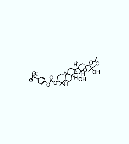 CC(=O)O[C@@H]([C@H]1C[C@@H](C)[C@H]2[C@H](O1)[C@H](O)[C@@]1(C)[C@@H]3CC[C@H]4C(C)(C)[C@@H](OC(=O)Oc5ccc([N+](=O)[O-])cc5)CC[C@@]45C[C@@]35CC[C@]21C)C(C)(C)O